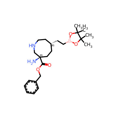 CC1(C)OB(CC[C@H]2CCNC[C@@](N)(C(=O)OCc3ccccc3)CC2)OC1(C)C